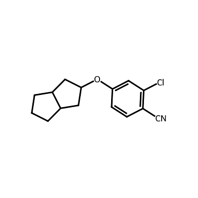 N#Cc1ccc(OC2CC3CCCC3C2)cc1Cl